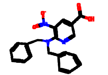 O=C(O)c1cnc(N(Cc2ccccc2)Cc2ccccc2)c([N+](=O)[O-])c1